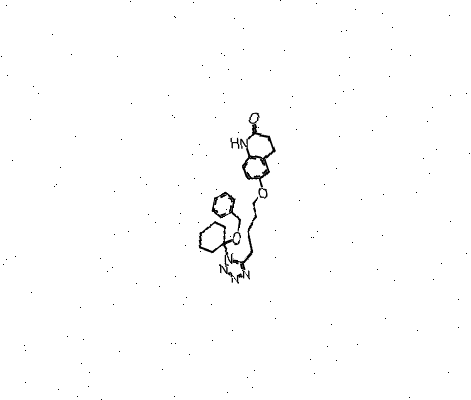 O=C1CCc2cc(OCCCCc3nnnn3C3(OCc4ccccc4)CCCCC3)ccc2N1